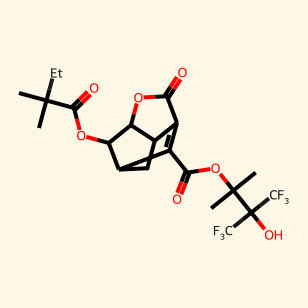 CCC(C)(C)C(=O)OC1C2CC3C(=C2C(=O)OC(C)(C)C(O)(C(F)(F)F)C(F)(F)F)C(=O)OC31